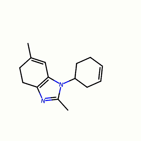 CC1=Cc2c(nc(C)n2C2CC=CCC2)CC1